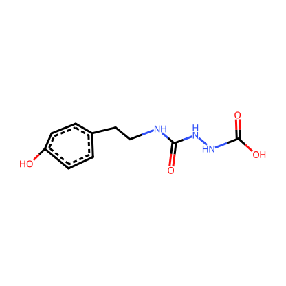 O=C(O)NNC(=O)NCCc1ccc(O)cc1